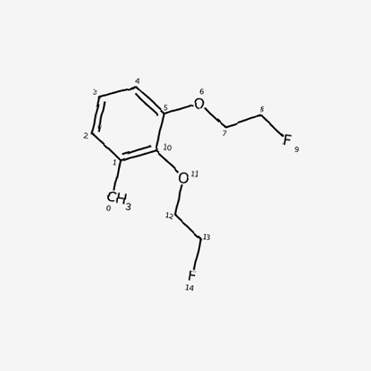 Cc1cccc(OCCF)c1OCCF